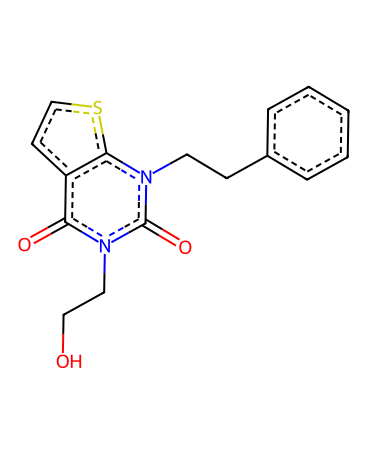 O=c1c2ccsc2n(CCc2ccccc2)c(=O)n1CCO